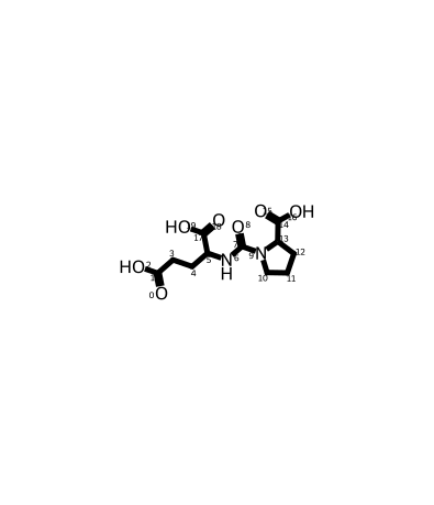 O=C(O)CCC(NC(=O)N1CCCC1C(=O)O)C(=O)O